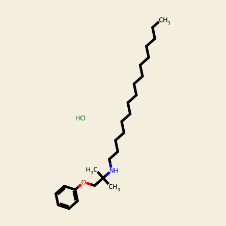 CCCCCCCCCCCCCCCCNC(C)(C)COc1ccccc1.Cl